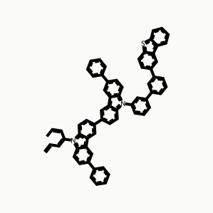 C=C/C=C(\C=C/C)n1c2ccc(-c3ccccc3)cc2c2cc(-c3ccc4c(c3)c3cc(-c5ccccc5)ccc3n4-c3cccc(-c4cccc(-c5ccc6sc7ccccc7c6c5)c4)c3)ccc21